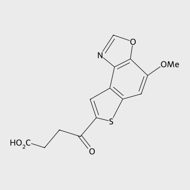 COc1cc2sc(C(=O)CCC(=O)O)cc2c2ncoc12